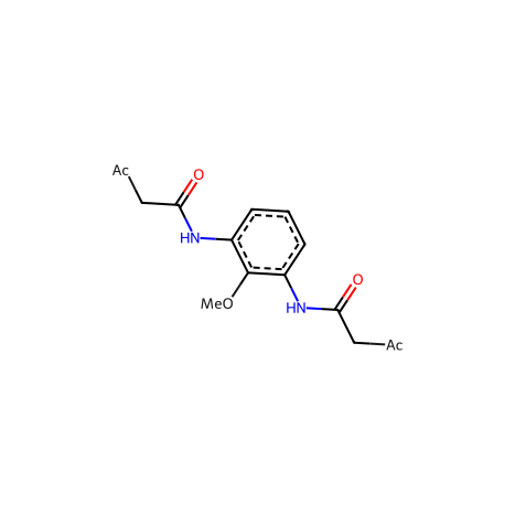 COc1c(NC(=O)CC(C)=O)cccc1NC(=O)CC(C)=O